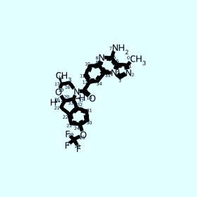 Cc1ncn2c1c(N)nc1ccc(C(=O)N3C[C@H](C)O[C@@H]4Cc5cc(OC(F)(F)F)ccc5[C@@H]43)cc12